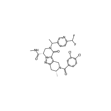 CNC(=O)[C@@H]1CN(C(C)c2ccc(C(F)F)nc2)C(=O)c2c3c(nn21)C[C@@H](C)N(C(=O)c1ccc(Cl)c(Cl)c1)C3